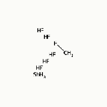 CF.F.F.F.F.F.[SbH3]